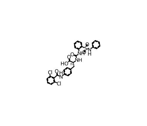 O=C(Nc1ccccc1S(=O)(=O)Nc1ccccc1)N[C@@H](Cc1ccc(NC(=O)c2c(Cl)cccc2Cl)cc1)C(=O)O